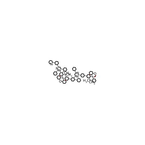 CC1(C)c2ccccc2C2(c3ccccc3Oc3ccccc32)c2ccc(-c3ccc(-c4nc(-c5ccccc5)cc(-c5cc(-c6ccc7c(c6)C(C)(C)c6c(-c8ccccc8-c8cc(-c9cccc(-c%10ccccn%10)c9)nc(-c9ccccc9)n8)cccc6C76c7ccccc7Oc7ccccc76)ccc5-c5ccccc5)n4)cc3)cc21